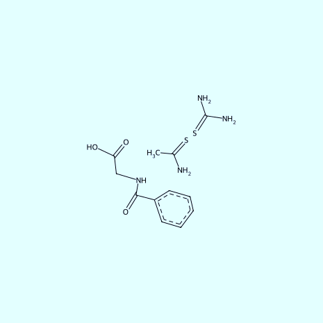 CC(N)=S.NC(N)=S.O=C(O)CNC(=O)c1ccccc1